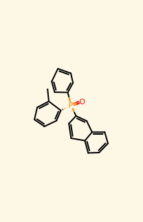 Cc1ccccc1[P@@](=O)(c1ccccc1)c1ccc2ccccc2c1